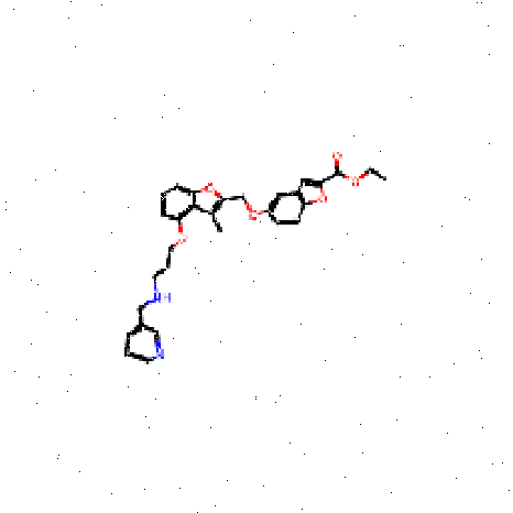 CCOC(=O)c1cc2cc(OCc3oc4cccc(OCCCNCc5cccnc5)c4c3C)ccc2o1